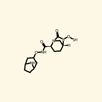 O=C(NOC1CC2CCC(C1)N2)[C@@H]1CC[C@@H]2CN1C(=O)N2OS